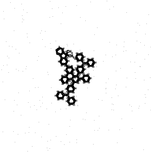 CC1(C)c2ccccc2-c2ccc(-c3ccc4c(c3)c3ccccc3c3c(-c5ccc(N(c6ccccc6)c6ccccc6)cc5)cc(-c5ccccc5)c(-c5ccc(N(c6ccccc6)c6ccccc6)cc5)c43)cc21